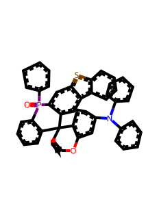 O=P1(c2ccccc2)c2ccccc2C2(c3ccccc3Oc3cc(N(c4ccccc4)c4ccccc4)ccc32)c2cc3c(cc21)sc1ccccc13